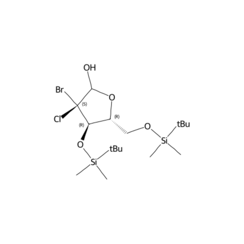 CC(C)(C)[Si](C)(C)OC[C@H]1OC(O)[C@@](Cl)(Br)[C@@H]1O[Si](C)(C)C(C)(C)C